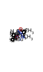 Cc1cc([C@@H](C)N)c2nc(C(C)(C)CO[Si](c3ccccc3)(c3ccccc3)C(C)(C)C)n(C)c(=O)c2c1